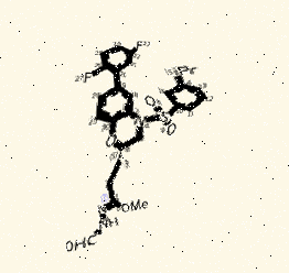 CO/C(CC[C@H]1CN(S(=O)(=O)c2cccc(C(C)C)c2)c2cc(-c3cc(F)ccc3F)ccc2O1)=N\NC=O